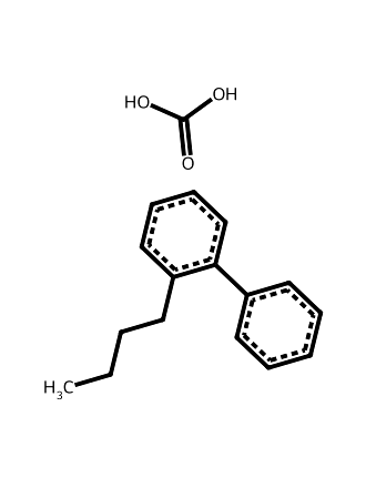 CCCCc1ccccc1-c1ccccc1.O=C(O)O